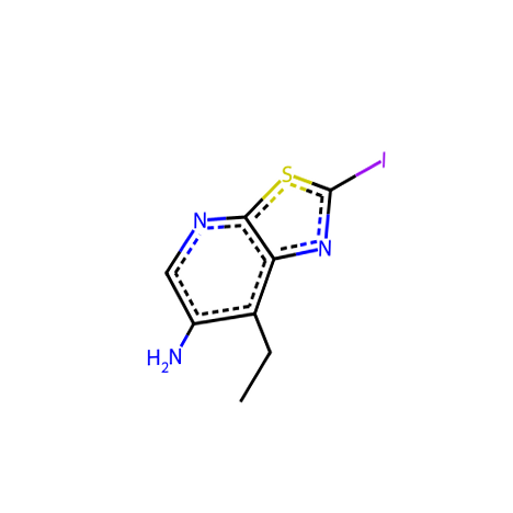 CCc1c(N)cnc2sc(I)nc12